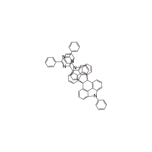 c1ccc(-c2nc(-c3ccccc3)nc(-c3ccc4c5c(cccc35)C35c6cccc7c6c6c(cccc6n7-c6ccccc6)C43c3cccc4c3c3c5cccc3n4-c3ccccc3)n2)cc1